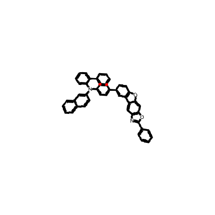 c1ccc(-c2nc3cc4c(cc3o2)oc2ccc(-c3ccc(N(c5ccc6ccccc6c5)c5ccccc5-c5ccccc5)cc3)cc24)cc1